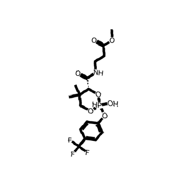 COC(=O)CCNC(=O)[C@@H]1O[PH](O)(Oc2ccc(C(F)(F)F)cc2)OCC1(C)C